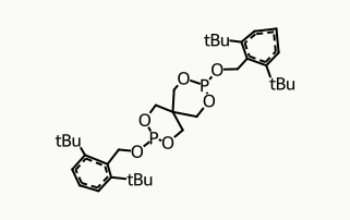 CC(C)(C)c1cccc(C(C)(C)C)c1COP1OCC2(CO1)COP(OCc1c(C(C)(C)C)cccc1C(C)(C)C)OC2